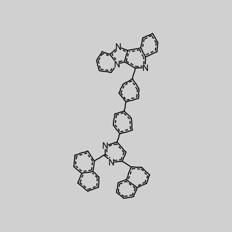 c1ccc2c(-c3cc(-c4ccc(-c5ccc(-c6nc7ccccc7c7nc8ccccn8c67)cc5)cc4)nc(-c4cccc5ccccc45)n3)cccc2c1